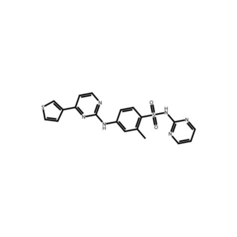 Cc1cc(Nc2nccc(-c3ccsc3)n2)ccc1S(=O)(=O)Nc1ncccn1